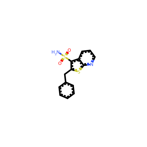 NS(=O)(=O)c1c(Cc2ccccc2)sc2ncccc12